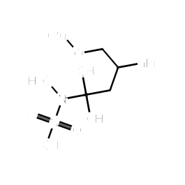 CCCC(COC(C)(C)C)CC(C)(C)N(C)S(C)(=O)=O